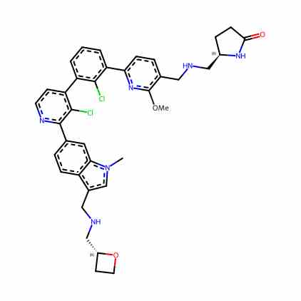 COc1nc(-c2cccc(-c3ccnc(-c4ccc5c(CNC[C@H]6CCO6)cn(C)c5c4)c3Cl)c2Cl)ccc1CNC[C@H]1CCC(=O)N1